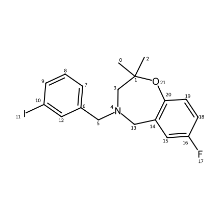 CC1(C)CN(Cc2cccc(I)c2)Cc2cc(F)ccc2O1